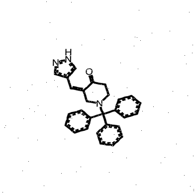 O=C1CCN(C(c2ccccc2)(c2ccccc2)c2ccccc2)CC1=Cc1cn[nH]c1